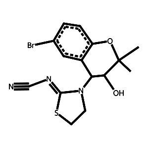 CC1(C)Oc2ccc(Br)cc2C(N2CCS/C2=N\C#N)C1O